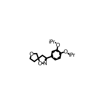 CC(C)Oc1ccc(C2=NOC3(CCOC3)C2)cc1OC(C)C